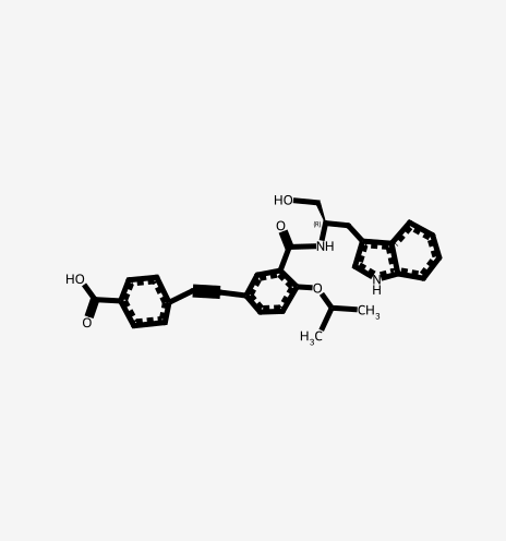 CC(C)Oc1ccc(C#Cc2ccc(C(=O)O)cc2)cc1C(=O)N[C@@H](CO)Cc1c[nH]c2ccccc12